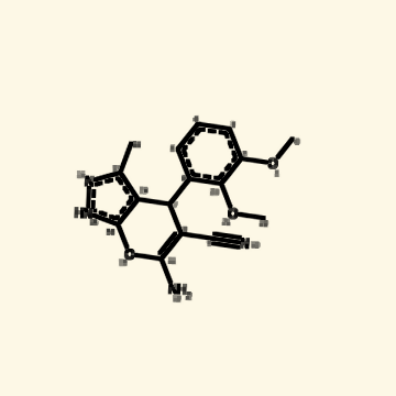 COc1cccc(C2C(C#N)=C(N)Oc3[nH]nc(C)c32)c1OC